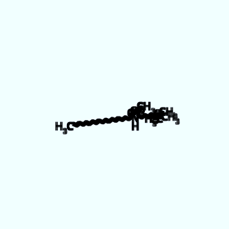 CCC=CCC=CCC=CCC=CCC=CCCCC(=O)NC(CCCCC(=O)OC(C)(C)C)C(=O)OC